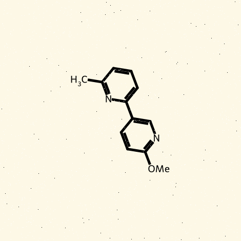 COc1ccc(-c2cccc(C)n2)cn1